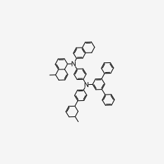 CC1CC=CC(c2ccc(N(c3ccc(N(c4ccc5c(c4)CCC=C5)C4C=CC=C5C(C)CC=CC54)cc3)c3cc(-c4ccccc4)cc(-c4ccccc4)c3)cc2)C1